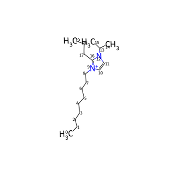 CCCCCCCCC[n+]1ccn(C(C)C)c1CCC